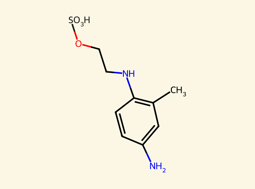 Cc1cc(N)ccc1NCCOS(=O)(=O)O